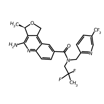 C[C@H]1OCc2c1c(N)nc1ccc(C(=O)N(Cc3ccc(C(F)(F)F)cn3)CC(C)(F)F)cc21